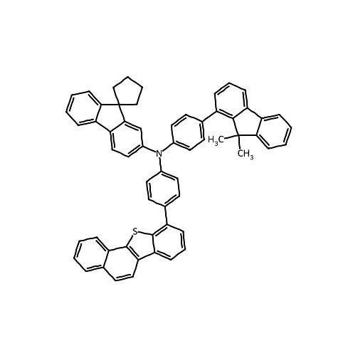 CC1(C)c2ccccc2-c2cccc(-c3ccc(N(c4ccc(-c5cccc6c5sc5c7ccccc7ccc65)cc4)c4ccc5c(c4)C4(CCCC4)c4ccccc4-5)cc3)c21